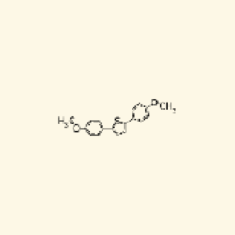 COc1ccc(-c2ccc(-c3ccc(OC)cc3)s2)cc1